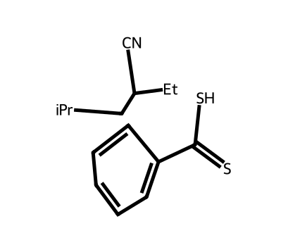 CCC(C#N)CC(C)C.S=C(S)c1ccccc1